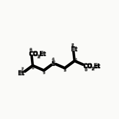 CCOC(=O)C(CC)CSCC(CC)C(=O)OCC